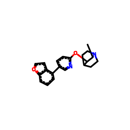 CC1C(Oc2ccc(-c3cccc4occc34)cn2)C2CCN1CC2